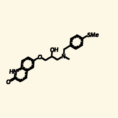 CSc1ccc(CN(C)CC(O)COc2ccc3[nH]c(=O)ccc3c2)cc1